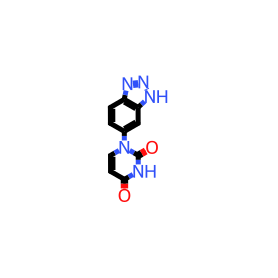 O=c1ccn(-c2ccc3nn[nH]c3c2)c(=O)[nH]1